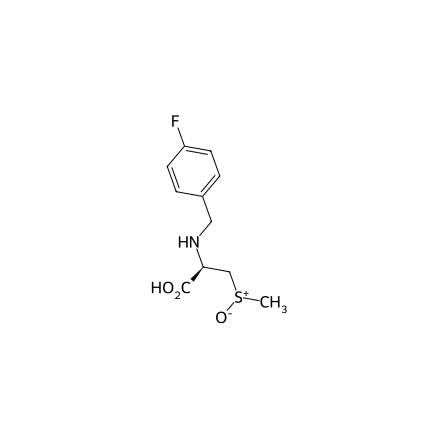 C[S+]([O-])C[C@H](NCc1ccc(F)cc1)C(=O)O